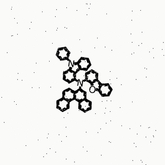 c1ccc(-n2c3ccccc3c3c(N(c4cc5ccccc5c5c4ccc4ccccc45)c4cccc5c4oc4ccccc45)cccc32)cc1